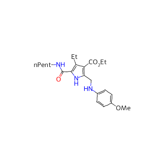 CCCCCNC(=O)c1[nH]c(CNc2ccc(OC)cc2)c(C(=O)OCC)c1CC